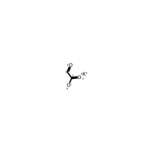 O=CC(=O)[O-].[K+]